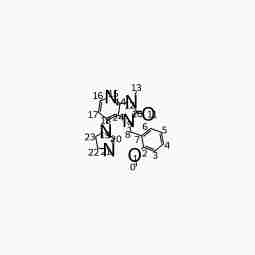 COc1ccccc1Cn1c(=O)n(C)c2nccc(N3C=NCC3)c21